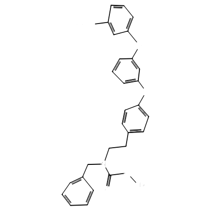 CCOC(=O)c1cccc(Oc2cccc(Sc3ccc(CCN(Cc4ccccc4)C(=O)OC(C)(C)C)cc3)c2)c1